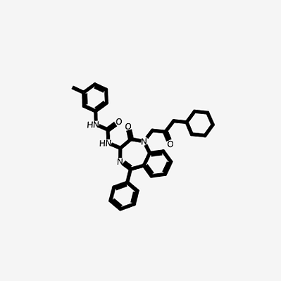 Cc1cccc(NC(=O)NC2N=C(c3ccccc3)c3ccccc3N(CC(=O)CC3CCCCC3)C2=O)c1